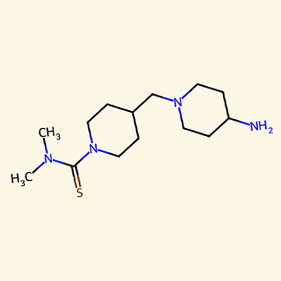 CN(C)C(=S)N1CCC(CN2CCC(N)CC2)CC1